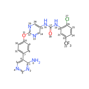 Nc1ncncc1-c1ccc(Oc2ncc(NC(=O)Nc3cc(C(F)(F)F)ccc3Cl)cn2)cc1